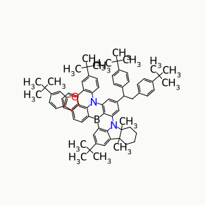 CC(C)(C)c1ccc(CC(c2ccc(C(C)(C)C)cc2)c2cc3c4c(c2)N2c5c(cc(C(C)(C)C)cc5C5(C)CCCCC25C)B4c2ccc4c(oc5cc(C(C)(C)C)ccc54)c2N3c2ccc(C(C)(C)C)cc2-c2ccccc2)cc1